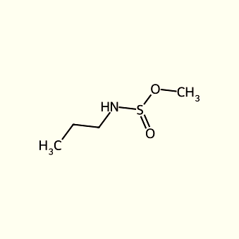 CCCNS(=O)OC